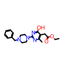 CCOC(=O)Cc1c(C)nc(N2CCN(Cc3ccccc3)CC2)nc1O